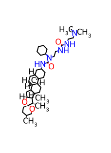 C[C@H]1CC[C@@]2(OC1)O[C@H]1C[C@H]3[C@@H]4CC[C@@H]5C[C@H](NC(=O)N(CCNC(=O)NCCN(C)C)C6CCCCC6)CC[C@]5(C)[C@H]4CC[C@]3(C)C1[C@@H]2C